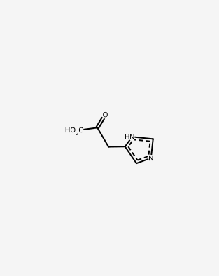 O=C(O)C(=O)Cc1cnc[nH]1